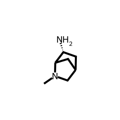 CN1CC2CC1[C@H](N)C2